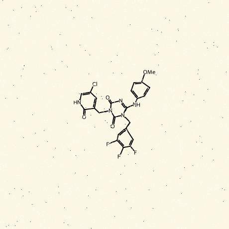 COc1ccc(Nc2nc(=O)n(Cc3cc(Cl)c[nH]c3=O)c(=O)n2Cc2cc(F)c(F)c(F)c2)cc1